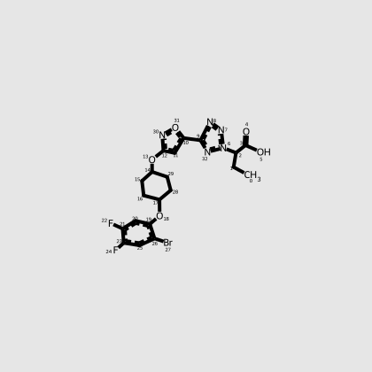 CCC(C(=O)O)n1nnc(-c2cc(OC3CCC(Oc4cc(F)c(F)cc4Br)CC3)no2)n1